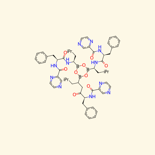 CC(C)CC(CC(=O)[C@H](Cc1ccccc1)NC(=O)c1cnccn1)B1OB([C@H](CC(C)C)NC(=O)[C@H](Cc2ccccc2)NC(=O)c2cnccn2)OB([C@H](CC(C)C)NC(=O)[C@H](Cc2ccccc2)NC(=O)c2cnccn2)O1